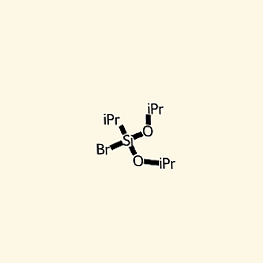 CC(C)O[Si](Br)(OC(C)C)C(C)C